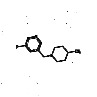 CC1CCN(Cc2cncc(F)c2)CC1